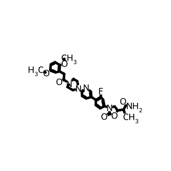 COc1ccc(OC)c(CC(=O)N2CCN(c3ccc(-c4ccc(N5CC(C(C)C(N)=O)OC5=O)cc4F)cn3)CC2)c1